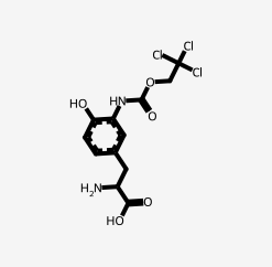 NC(Cc1ccc(O)c(NC(=O)OCC(Cl)(Cl)Cl)c1)C(=O)O